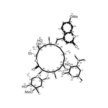 CC[C@H]1OC(=O)[C@H](C)[C@@H](O[C@H]2C[C@@](C)(OC)[C@@H](O)[C@H](C)O2)[C@H](C)[C@@H](OC2O[C@H](C)C[C@H](N(C)C)[C@H]2O)[C@](C)(O)C[C@@H](C)CN(Cc2cc(=O)oc3cc(OC)ccc23)[C@H](C)[C@@H](O)[C@]1(C)O